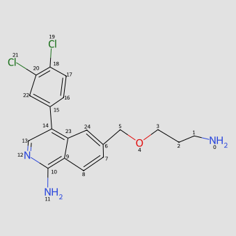 NCCCOCc1ccc2c(N)ncc(-c3ccc(Cl)c(Cl)c3)c2c1